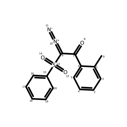 Cc1ccccc1C(=O)C(=[N+]=[N-])S(=O)(=O)c1ccccc1